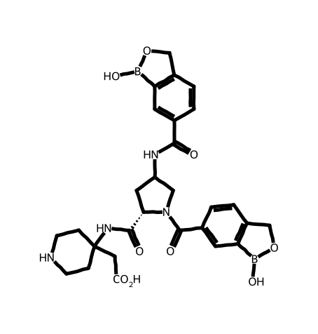 O=C(O)CC1(NC(=O)[C@@H]2CC(NC(=O)c3ccc4c(c3)B(O)OC4)CN2C(=O)c2ccc3c(c2)B(O)OC3)CCNCC1